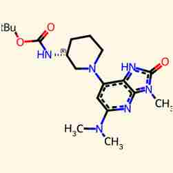 CN(C)c1cc(N2CCC[C@@H](NC(=O)OC(C)(C)C)C2)c2[nH]c(=O)n(C)c2n1